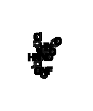 Cc1cc(Nc2nc(=O)c(C(=O)NC3CCOCC3)cn2Cc2ccc(Cl)cc2)ccc1Oc1cccc(F)n1